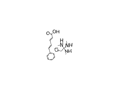 CNC(CCl)(NC)NC.O=C(O)C=CC=Cc1ccccc1